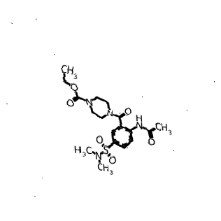 CCOC(=O)N1CCN(C(=O)c2cc(S(=O)(=O)N(C)C)ccc2NC(C)=O)CC1